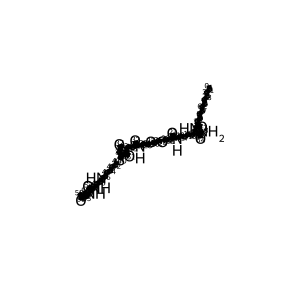 CCCCCCCCCCCC(=O)NC(CCCCNC(=O)CCOCCOCCNC(=O)CCN1C(=O)CC(SCCCCCCNCCNC(=O)NC(C)(C)C(C)=O)C1=O)C(N)=O